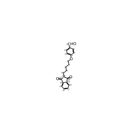 O=Cc1ccc(OCCCCCN2C(=O)c3ccccc3C2=O)cc1